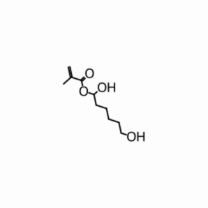 C=C(C)C(=O)OC(O)CCCCCO